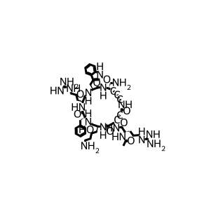 CC(=O)N[C@@H](CCCNC(=N)N)C(=O)N[C@H]1CCC(=O)NCCC[C@@H](C(N)=O)NC(=O)[C@H](Cc2c[nH]c3ccccc23)NC(=O)[C@H](CCCNC(=N)N)NC(=O)[C@@H](Cc2ccccc2)NC(O)[C@H](CCCCN)NC1=O